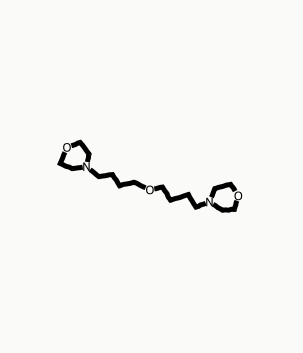 C(CCN1CCOCC1)COCCCCN1CCOCC1